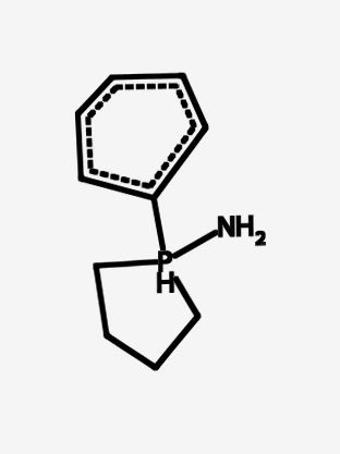 N[PH]1(c2ccccc2)CCCC1